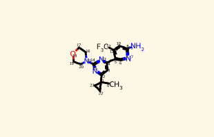 CC1(c2cc(-c3cnc(N)cc3C(F)(F)F)nc(N3CCOCC3)n2)CC1